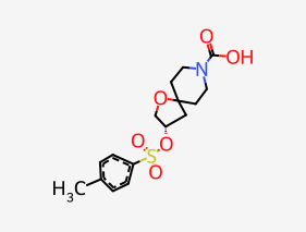 Cc1ccc(S(=O)(=O)O[C@@H]2COC3(CCN(C(=O)O)CC3)C2)cc1